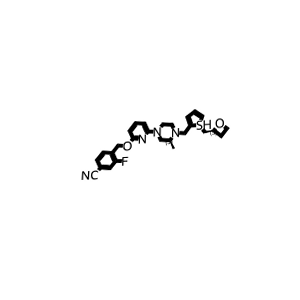 C[C@H]1CN(c2cccc(OCc3ccc(C#N)cc3F)n2)CCN1CC1=CC=C[SH]1C[C@@H]1CCO1